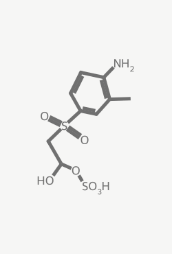 Cc1cc(S(=O)(=O)CC(O)OS(=O)(=O)O)ccc1N